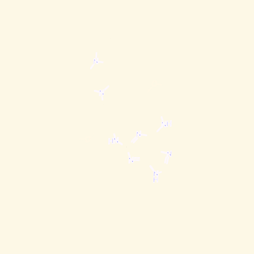 COc1cc(N2CCN3CCCC3C2)ccc1Nc1nc(NC2CCOCC2)c2nc[nH]c2n1